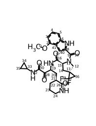 COc1cccc2[nH]c(C(=O)N3C[C@]4(C[C@H]3C(=O)NC(C[C@@H]3CCCNC3=O)C(=O)C(=O)NC3CC3)CC4(F)F)cc12